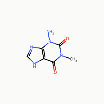 Cn1c(=O)c2[nH]cnc2n(N)c1=O